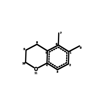 Cc1ccc2c(c1C)CCCO2